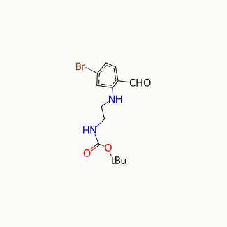 CC(C)(C)OC(=O)NCCNc1cc(Br)ccc1C=O